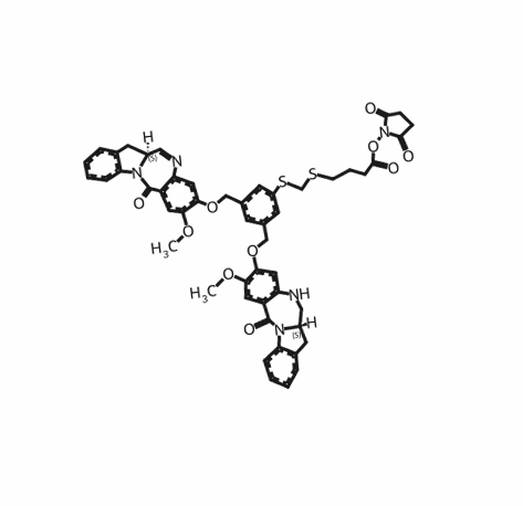 COc1cc2c(cc1OCc1cc(COc3cc4c(cc3OC)C(=O)N3c5ccccc5C[C@H]3CN4)cc(SCSCCCC(=O)ON3C(=O)CCC3=O)c1)N=C[C@@H]1Cc3ccccc3N1C2=O